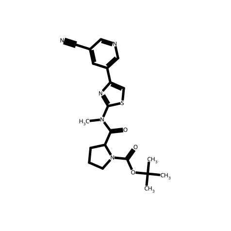 CN(C(=O)C1CCCN1C(=O)OC(C)(C)C)c1nc(-c2cncc(C#N)c2)cs1